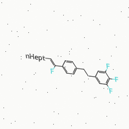 CCCCCCCC=C(F)c1ccc(CCc2cc(F)c(F)c(F)c2)cc1